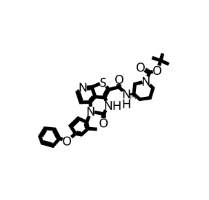 Cc1cc(Oc2ccccc2)ccc1N1C(=O)Nc2c(C(=O)N[C@@H]3CCCN(C(=O)OC(C)(C)C)C3)sc3nccc1c23